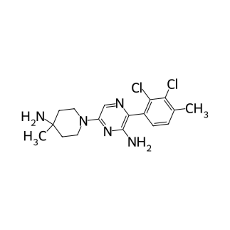 Cc1ccc(-c2ncc(N3CCC(C)(N)CC3)nc2N)c(Cl)c1Cl